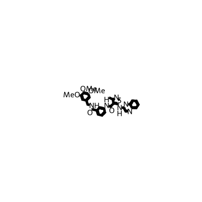 COc1cc(CNC(=O)c2cccc(NC(=O)c3c(C)nsc3Nc3cnc4ccccc4n3)c2)cc(OC)c1OC